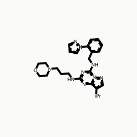 CC(C)c1cnn2c(NCc3ccccc3-n3cccn3)nc(NCCCN3CCOCC3)nc12